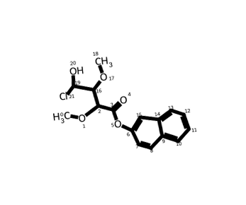 COC(C(=O)Oc1ccc2ccccc2c1)C(OC)C(O)Cl